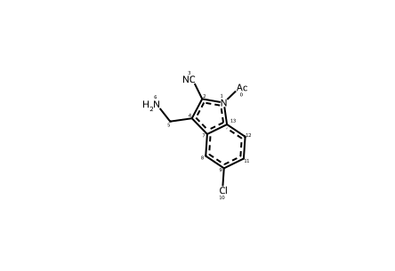 CC(=O)n1c(C#N)c(CN)c2cc(Cl)ccc21